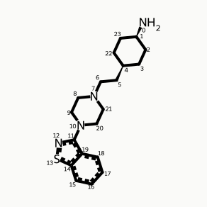 N[C@H]1CC[C@@H](CCN2CCN(c3nsc4ccccc34)CC2)CC1